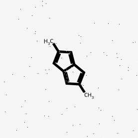 CC1=CC2=CC(C)=CC2=C1